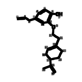 C=CCc1ccc(O)c(OCCC2=CCC(C(=C)C)CC2)c1